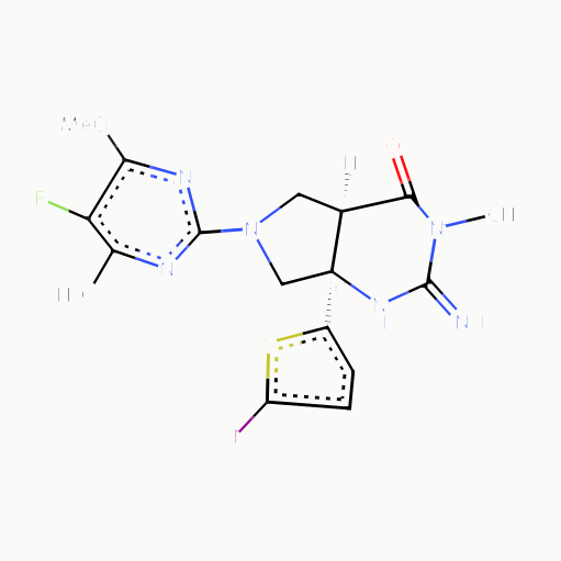 COc1nc(N2C[C@H]3C(=O)N(C)C(=N)N[C@@]3(c3ccc(I)s3)C2)nc(C)c1F